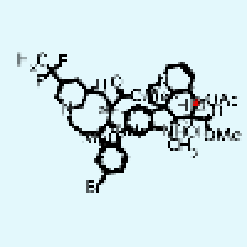 CC[C@]12C=CCN3CC[C@@]4(c5cc([C@@]6(C(=O)OC)C[C@H]7CC(C(C)(F)F)CN(CCc8c6[nH]c6ccc(Br)cc86)C7)c(OC)cc5N(C)[C@H]4[C@@](O)(C(=O)OC)[C@@H]1OC(C)=O)[C@@H]32